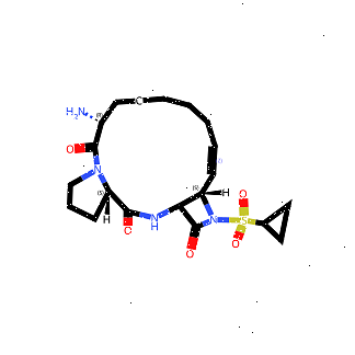 N[C@@H]1CCCCC/C=C\[C@H]2C(NC(=O)[C@@H]3CCCN3C1=O)C(=O)N2S(=O)(=O)C1CC1